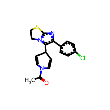 CC(=O)N1C=CC(c2c(-c3ccc(Cl)cc3)nc3n2CCS3)C=C1